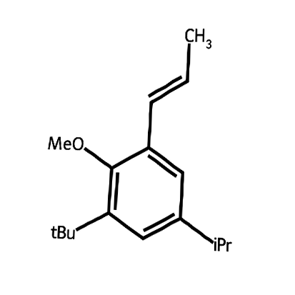 CC=Cc1cc(C(C)C)cc(C(C)(C)C)c1OC